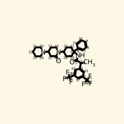 CC(C(=O)NC1(c2ccccc2)CCC(N2CCC(N3CCCCC3)CC2=O)CC1)c1cc(C(F)(F)F)cc(C(F)(F)F)c1